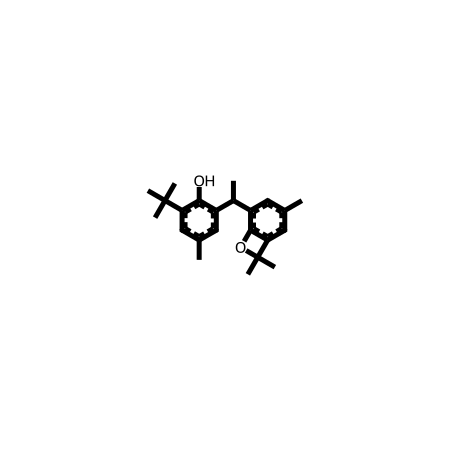 Cc1cc(C(C)c2cc(C)cc3c2OC3(C)C)c(O)c(C(C)(C)C)c1